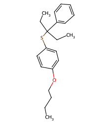 CCCCOc1ccc(SC(CC)(CC)c2ccccc2)cc1